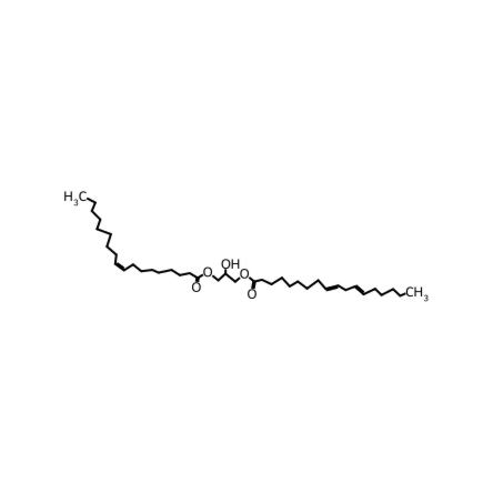 CCCCC/C=C/C/C=C/CCCCCCCC(=O)OCC(O)COC(=O)CCCCCCC/C=C\CCCCCCCC